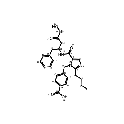 CCCCc1ncc(C(=O)NC(CC(=O)NO)Cc2ccccc2)n1Cc1ccc(C(=O)O)cc1